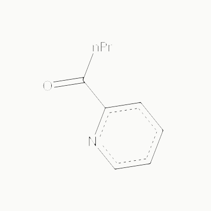 CCCC(=O)c1c[c]ccn1